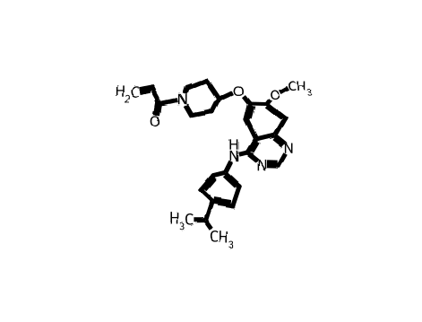 C=CC(=O)N1CCC(Oc2cc3c(Nc4ccc(C(C)C)cc4)ncnc3cc2OC)CC1